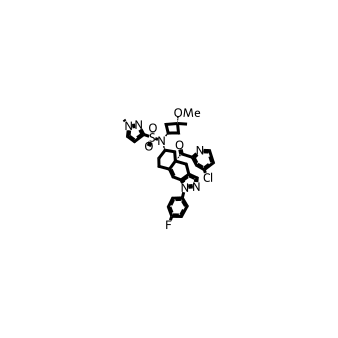 CO[C@]1(C)C[C@H](N([C@H]2CCC3=Cc4c(cnn4-c4ccc(F)cc4)C[C@]3(C(=O)c3cc(Cl)ccn3)C2)S(=O)(=O)c2ccn(C)n2)C1